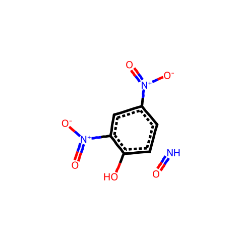 N=O.O=[N+]([O-])c1ccc(O)c([N+](=O)[O-])c1